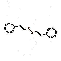 C(=Cc1ccccc1)SSC=Cc1ccccc1